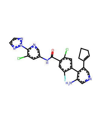 Nc1cncc(C2=CCCC2)c1-c1cc(Cl)c(C(=O)Nc2cnc(-n3nccn3)c(Cl)c2)cc1F